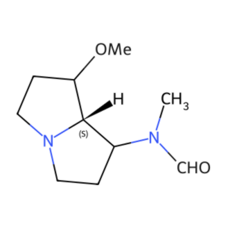 COC1CCN2CCC(N(C)C=O)[C@@H]12